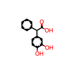 O=C(O)C(c1ccccc1)c1ccc(O)c(O)c1